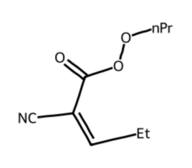 CCC=C(C#N)C(=O)OOCCC